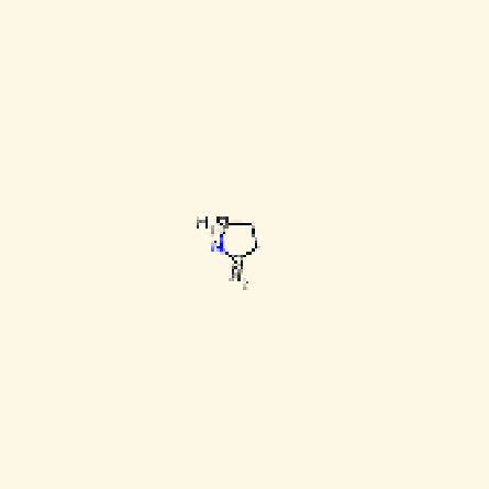 C1C[SiH2][N][SiH2]1